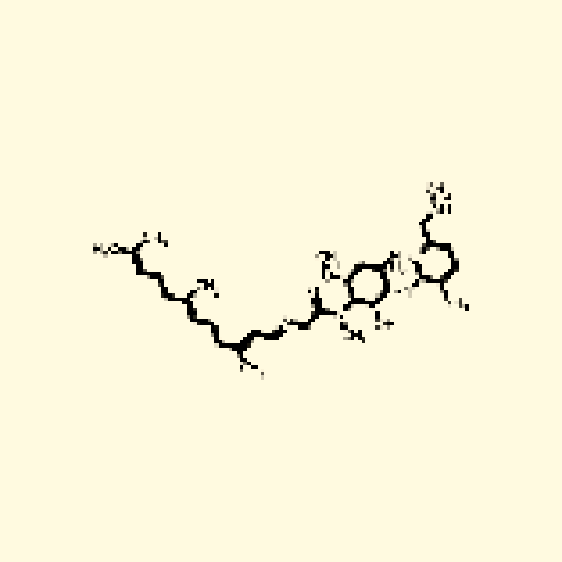 CNCC1CC[C@@H](N)[C@@H](O[C@H]2C(N)C[C@H](OC)C(N(C)C(=O)C/N=C/C=C(\C)CC/C=C(\C)CCC=C(C)C)[C@@H]2O)O1